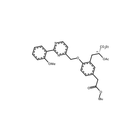 CCOC(=O)[C@@H](Cc1cc(CC(=O)OC(C)(C)C)ccc1OCc1ccnc(-c2ccccc2OC)n1)OC(C)=O